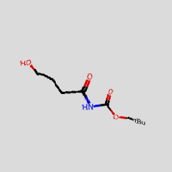 CC(C)(C)OC(=O)NC(=O)CCCO